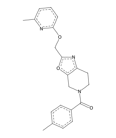 Cc1ccc(C(=O)N2CCc3nc(COc4cccc(C)n4)oc3C2)cc1